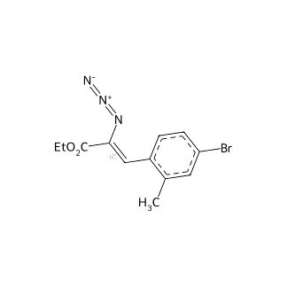 CCOC(=O)/C(=C/c1ccc(Br)cc1C)N=[N+]=[N-]